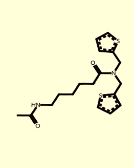 CC(=O)NCCCC[CH]C(=O)N(Cc1cccs1)Cc1cccs1